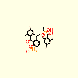 CCP(=O)(O)C(=O)c1c(C)cc(C)cc1C.CCc1cccc(O[PH2]=O)c1C(=O)c1c(C)cc(C)cc1C